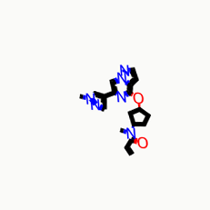 C=CC(=O)N(C)[C@@H]1CC[C@H](Oc2nc(-c3cnn(C)c3)cn3nccc23)C1